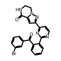 O=C(c1cccc(Br)c1)c1ccccc1-c1nccc(-c2cc3n(n2)CCNC3=O)n1